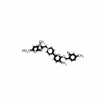 Cc1ccc(COc2nc(C3=CCN(Cc4nc5oc(C(=O)O)cc5n4C)CC3)ccc2P)c(F)c1